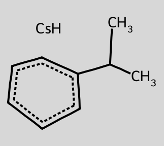 CC(C)c1ccccc1.[CsH]